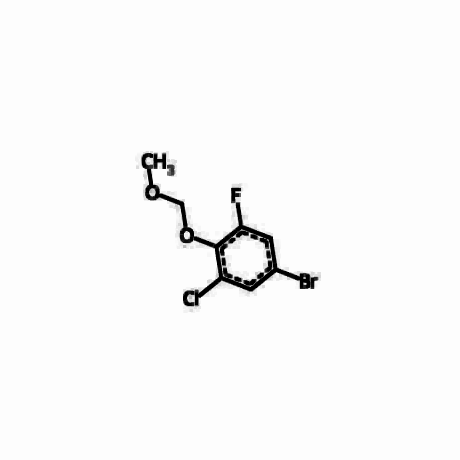 COCOc1c(F)cc(Br)cc1Cl